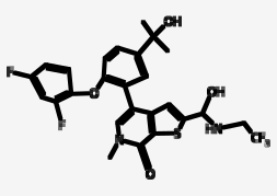 Cn1cc(-c2cc(C(C)(C)O)ccc2Oc2ccc(F)cc2F)c2cc(C(O)NCC(F)(F)F)sc2c1=O